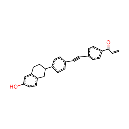 C=CC(=O)c1ccc(C#Cc2ccc(C3CCc4cc(O)ccc4C3)cc2)cc1